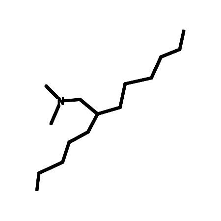 CCCCCCC(CCCCC)CN(C)C